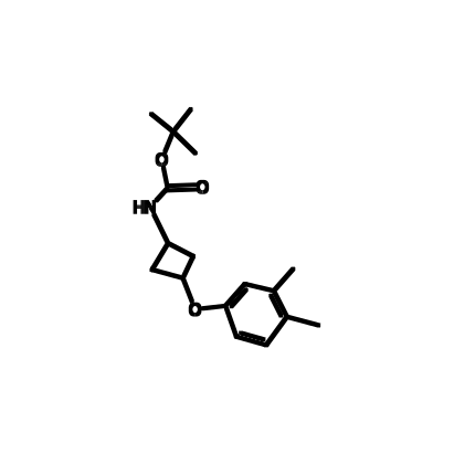 Cc1ccc(OC2CC(NC(=O)OC(C)(C)C)C2)cc1C